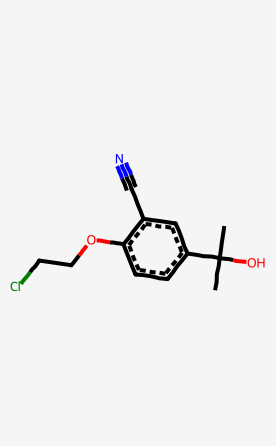 CC(C)(O)c1ccc(OCCCl)c(C#N)c1